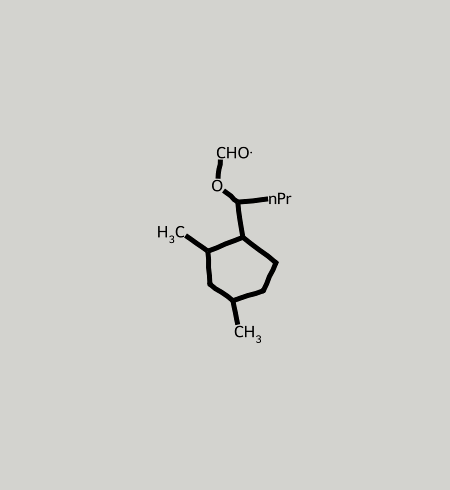 CCCC(O[C]=O)C1CCC(C)CC1C